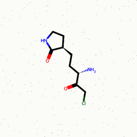 N[C@@H](CC[C@@H]1CCNC1=O)C(=O)CCl